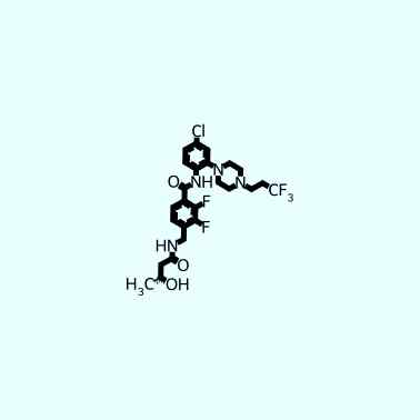 C[C@@H](O)CC(=O)NCc1ccc(C(=O)Nc2ccc(Cl)cc2N2CCN(CCC(F)(F)F)CC2)c(F)c1F